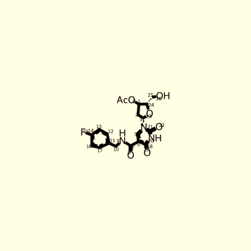 CC(=O)OC1C[C@@H](n2cc(C(=O)NCc3ccc(F)cc3)c(=O)[nH]c2=O)O[C@H]1CO